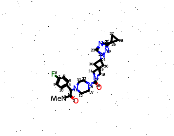 CNC(=O)[C@@H](c1ccc(F)cc1)N1CCN(C(=O)N2CC3(CC(n4cnc(C5CC5)n4)C3)C2)CC1